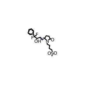 CS(=O)(=O)CCCCN1C(=O)CC[C@@H]1/C=C/C(O)C(F)(F)c1ccccc1